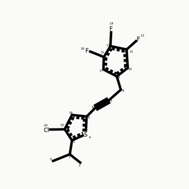 CC(C)c1sc(C#CCc2cc(F)c(F)c(F)c2)cc1Cl